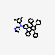 Cc1cc(C)cc(N(c2ccc3c(c2)c2ccccc2c2c(-c4ccccc4)cc(-c4ccccc4)c(-c4ccccc4)c32)c2cnccn2)c1